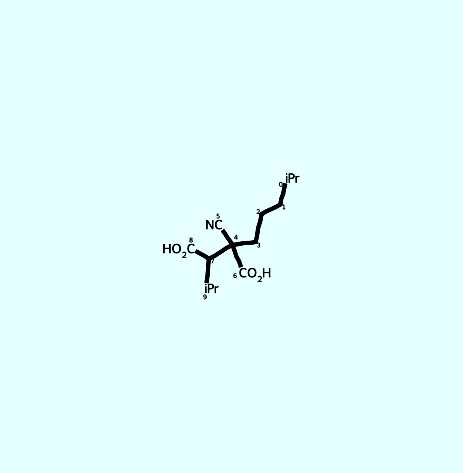 CC(C)CCCC(C#N)(C(=O)O)C(C(=O)O)C(C)C